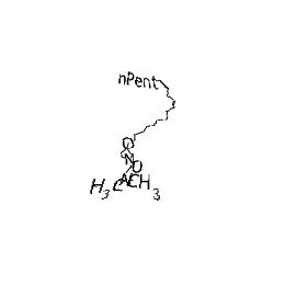 CCCCC/C=C\C/C=C\CCCCCCCCOC1CCN(C(=O)CN(C)C)C1